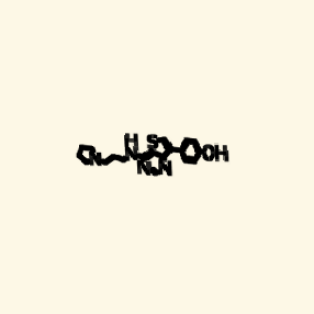 Oc1ccc(-c2csc3c(NCCCN4CCCC4)ncnc23)cc1